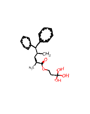 CC(=CC(C)C(c1ccccc1)c1ccccc1)C(=O)OCCC(O)(O)O